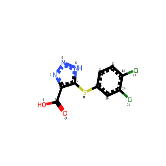 O=C(O)c1nn[nH]c1Sc1ccc(Cl)c(Cl)c1